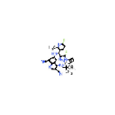 Cc1nc(F)ccc1C(Nc1cc(C#N)c2ncc(C#N)c(NCC(C)(C)C)c2c1)c1nnn(C23CC(C2)C3)c1F